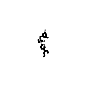 C=C/C(=C\CC)c1ccc(-n2ccn(Cc3cc(C)cc(F)c3)c2=O)nc1